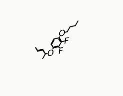 C/C=C/C(C)Oc1ccc(OCCCC)c(F)c1F